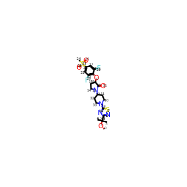 COC(C)(C)c1nsc(N2CCC(N3CCC(Oc4c(F)cc(S(C)(=O)=O)cc4F)C3=O)CC2)n1